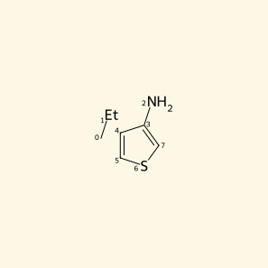 CCC.Nc1ccsc1